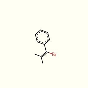 CC(C)=C(Br)c1ccccc1